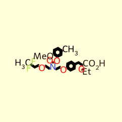 CCOC(Cc1ccc(OCCN(CCOCCC(C)(F)F)C(=O)Oc2cc(C)ccc2OC)cc1)C(=O)O